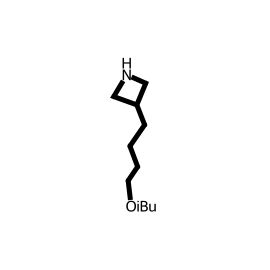 CC(C)COCCCCC1CNC1